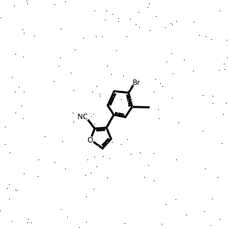 Cc1cc(-c2ccoc2C#N)ccc1Br